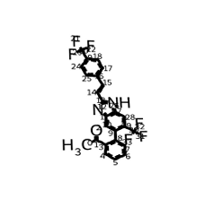 CC(=O)c1ccccc1-c1cc2nc(C=Cc3ccc(C(F)(F)F)cc3)[nH]c2cc1C(F)(F)F